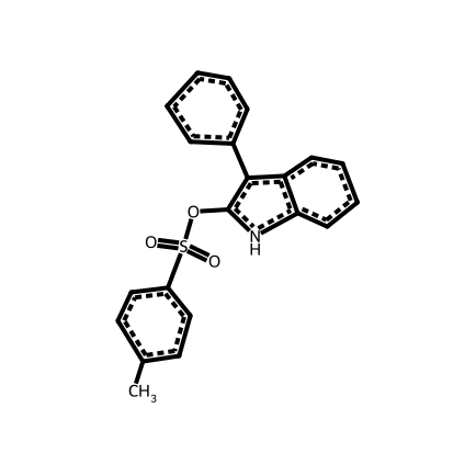 Cc1ccc(S(=O)(=O)Oc2[nH]c3ccccc3c2-c2ccccc2)cc1